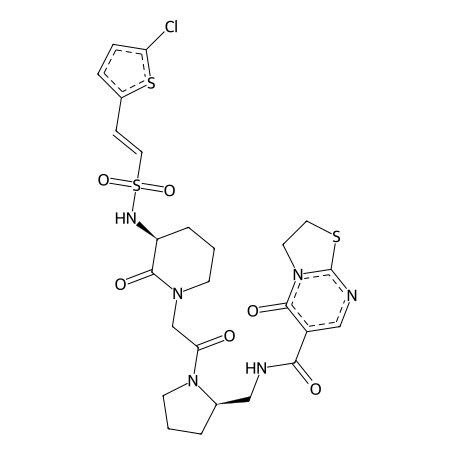 O=C(NC[C@H]1CCCN1C(=O)CN1CCC[C@H](NS(=O)(=O)/C=C/c2ccc(Cl)s2)C1=O)c1cnc2n(c1=O)CCS2